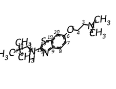 CN(C)CCOc1ccc2nc(NCC(C)(C)C)sc2c1